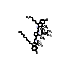 CCCCCN1/C(=C/C=C2\CCC(/C=C/C3=[N+](CCCCSOOO)c4ccc(Cl)cc4C3(C)C)=C2N(C)C(=O)OC(C)(C)C)C(C)(C)c2cc(Cl)ccc21